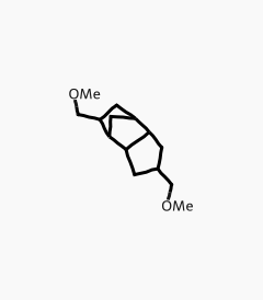 COCC1CC2C3CC(COC)C(C3)C2C1